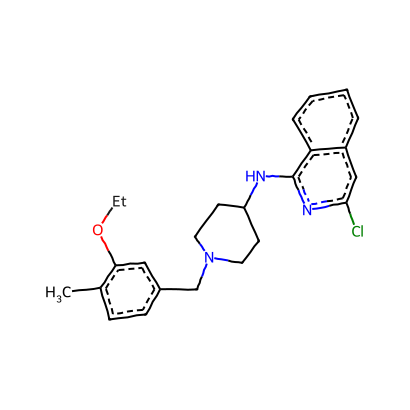 CCOc1cc(CN2CCC(Nc3nc(Cl)cc4ccccc34)CC2)ccc1C